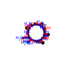 CCCC[C@H]1C(=O)N(C)[C@@H](CCCC)C(=O)N[C@@H](CCCNC(=N)N)C(=O)N[C@H](C(=O)NCC(=O)NCC(N)=O)CSCC(=O)N[C@@H](Cc2ccc(O)cc2)C(=O)N(C)[C@@H](C)C(=O)N[C@@H](CC(N)=O)C(=O)N2CCC[C@H]2C(=O)N[C@@H](Cc2cnc[nH]2)C(=O)N[C@@H](CC(C)C)C(=O)N2C[C@H](O)C[C@H]2C(=O)N[C@@H](Cc2c[nH]c3ccccc23)C(=O)N[C@@H](CO)C(=O)N[C@@H](Cc2c[nH]c3ccccc23)C(=O)N1C